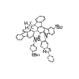 CC(C)(C)c1ccc(N2B3c4cc5nc(-c6ccccc6)sc5cc4-n4c5ccc(C(C)(C)C)cc5c5c6c(c(c3c54)-c3cc4sc5ccccc5c4cc32)C(C)(C)c2ccccc2-6)cc1